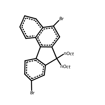 CCCCCCCCC1(CCCCCCCC)c2cc(Br)ccc2-c2c1cc(Br)c1ccccc21